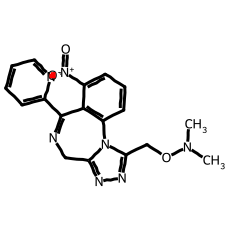 CN(C)OCc1nnc2n1-c1cccc([N+](=O)[O-])c1C(c1ccccn1)=NC2